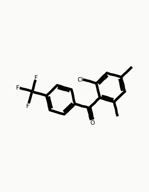 Cc1cc(C)c(C(=O)c2ccc(C(F)(F)F)cc2)c(Cl)c1